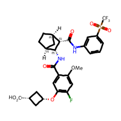 COc1cc(F)c(O[C@H]2C[C@@H](C(=O)O)C2)cc1C(=O)N[C@@H]1[C@H]2CC[C@H](C2)[C@@H]1C(=O)Nc1cccc(S(=O)(=O)C(F)(F)F)c1